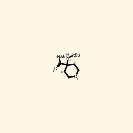 CNC(=O)C1(NC(C)(C)C)CCOCC1